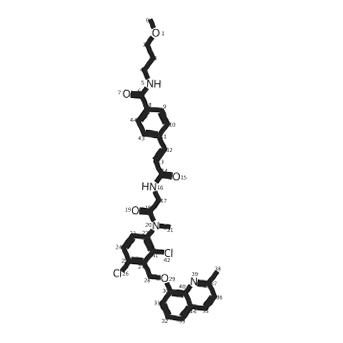 COCCCNC(=O)c1ccc(/C=C/C(=O)NCC(=O)N(C)c2ccc(Cl)c(COc3cccc4ccc(C)nc34)c2Cl)cc1